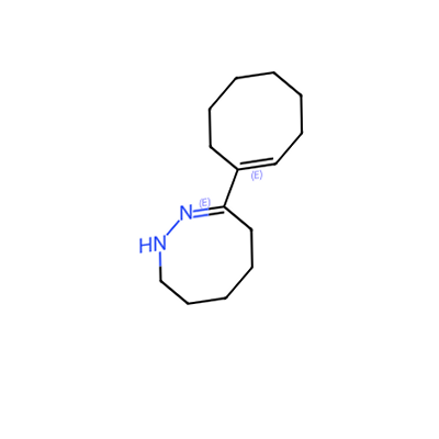 C1=C(/C2=N/NCCCCC2)CCCCCC/1